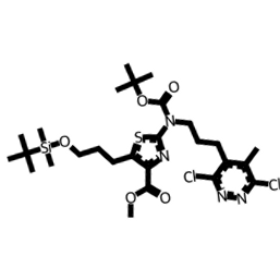 COC(=O)c1nc(N(CCCc2c(Cl)nnc(Cl)c2C)C(=O)OC(C)(C)C)sc1CCCO[Si](C)(C)C(C)(C)C